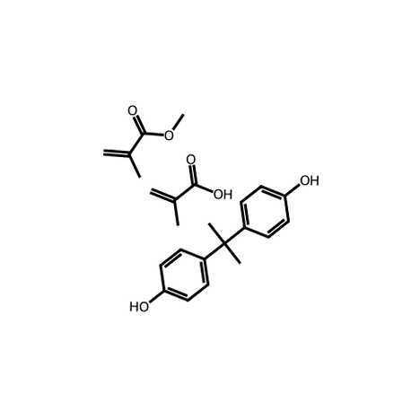 C=C(C)C(=O)O.C=C(C)C(=O)OC.CC(C)(c1ccc(O)cc1)c1ccc(O)cc1